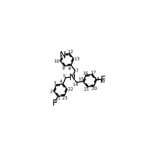 Fc1ccc(CN(Cc2ccncc2)Cc2ccc(F)cc2)cc1